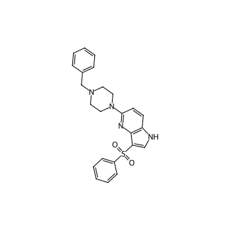 O=S(=O)(c1ccccc1)c1c[nH]c2ccc(N3CCN(Cc4ccccc4)CC3)nc12